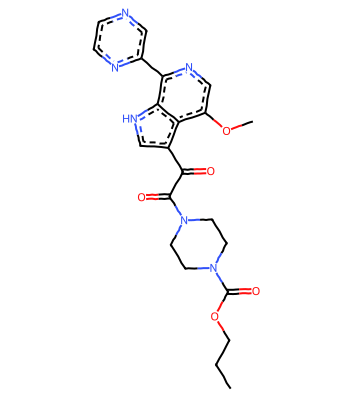 CCCOC(=O)N1CCN(C(=O)C(=O)c2c[nH]c3c(-c4cnccn4)ncc(OC)c23)CC1